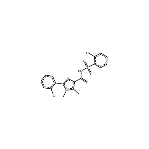 Cc1c(C(=O)NS(=O)(=O)c2ccccc2Cl)nc(-c2ccccc2Cl)n1C